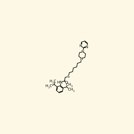 CC(C)c1cccc(C(C)C)c1NC(=O)CSCCCCCCN1CCN(c2ncccn2)CC1